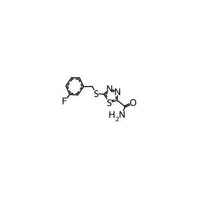 NC(=O)c1nnc(SCc2cccc(F)c2)s1